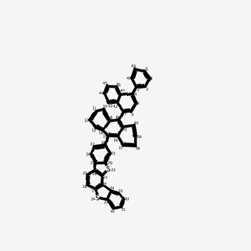 c1ccc(-c2ccc(-c3c4ccccc4c(-c4ccc5c(c4)sc4c5ccc5sc6ccccc6c54)c4ccccc34)c3ccccc23)cc1